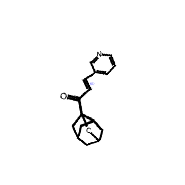 O=C(/C=C/c1cccnc1)C12CC3CC(CC1C3)C2